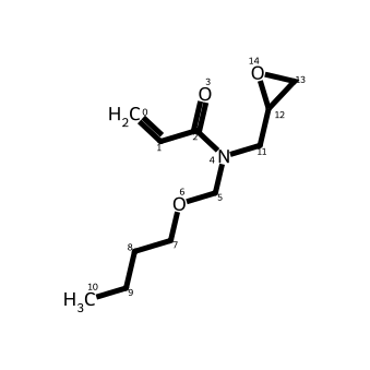 C=CC(=O)N(COCCCC)CC1CO1